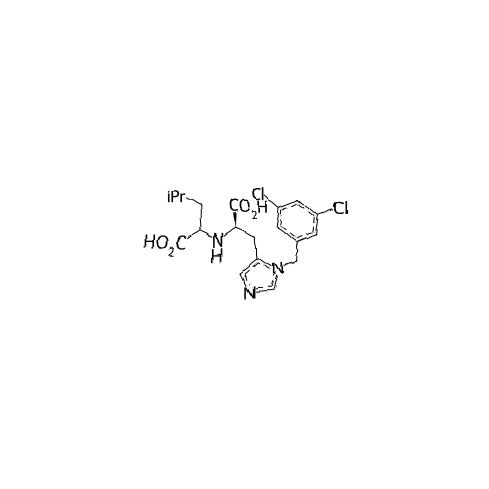 CC(C)CC(N[C@H](Cc1cncn1Cc1cc(Cl)cc(Cl)c1)C(=O)O)C(=O)O